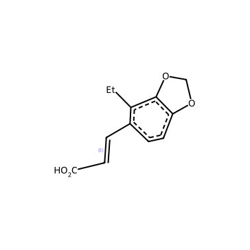 CCc1c(/C=C/C(=O)O)ccc2c1OCO2